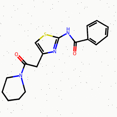 O=C(Nc1nc(CC(=O)N2CCCCC2)cs1)c1ccccc1